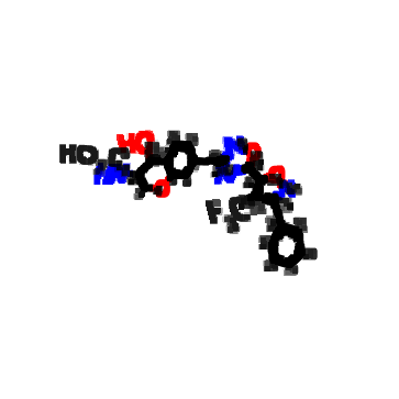 O=C(O)N[C@H]1COc2cc(-c3noc(-c4onc(-c5ccccc5)c4C(F)(F)F)n3)ccc2[C@@H]1O